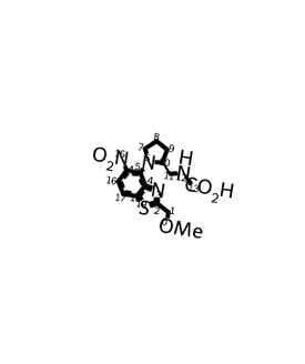 COCc1nc2c(N3CCC[C@H]3CNC(=O)O)c([N+](=O)[O-])ccc2s1